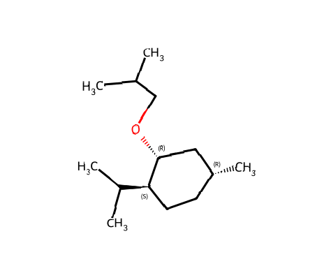 CC(C)CO[C@@H]1C[C@H](C)CC[C@H]1C(C)C